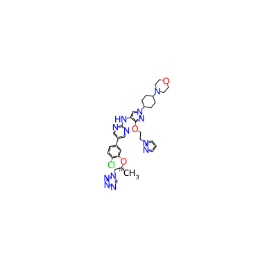 C[C@@H](Cn1cnnn1)Oc1cc(-c2cnc(Nc3cn(C4CCC(N5CCOCC5)CC4)nc3OCCn3cccn3)nc2)ccc1Cl